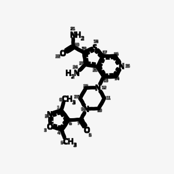 Cc1noc(C)c1C(=O)N1CCN(c2cncc3sc(C(N)=O)c(N)c23)CC1